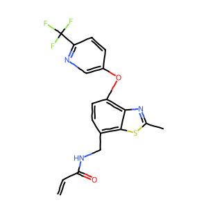 C=CC(=O)NCc1ccc(Oc2ccc(C(F)(F)F)nc2)c2nc(C)sc12